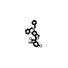 O=C1Nc2ccc(Cl)cc2/C1=C1\OCc2cc(N(Cc3ccccc3)Cc3ccccc3)ccc21